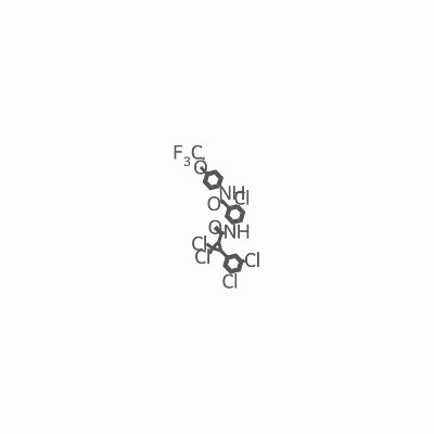 O=C(Nc1ccc(OCC(F)(F)F)cc1)c1cc(NC(=O)C2C(c3cc(Cl)cc(Cl)c3)C2(Cl)Cl)ccc1Cl